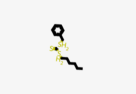 CCCCCC[SH2]C(=S)[SH2]Cc1ccccc1